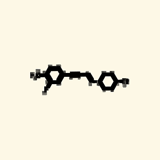 CC[C@H]1CC[C@H](C=CC#Cc2ccc(C(F)(F)F)c(F)c2)CC1